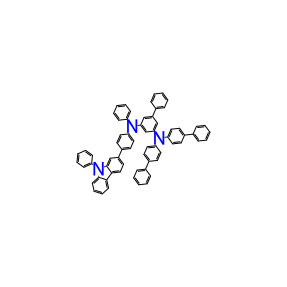 c1ccc(-c2ccc(N(c3ccc(-c4ccccc4)cc3)c3cc(-c4ccccc4)cc(N(c4ccccc4)c4ccc(-c5ccc6c7ccccc7n(-c7ccccc7)c6c5)cc4)c3)cc2)cc1